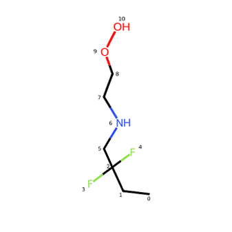 CCC(F)(F)CNCCOO